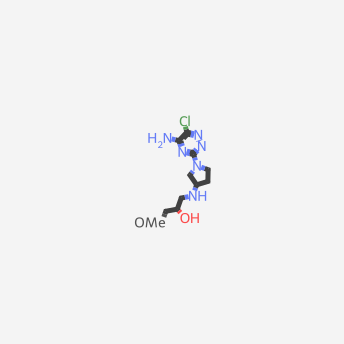 COCC(O)CNC1CCN(c2nnc(Cl)c(N)n2)C1